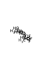 C[C@@H](CO)Nc1ncc2c(n1)CN(C(=O)N[C@H](C)c1cc(F)c(F)c(F)c1)CC2